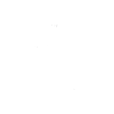 CCCCCC1OCC1C